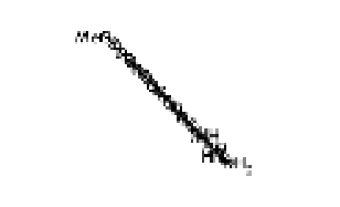 COCCOCCOCCOCCOCCOCCOCCOCCOCCOCCOCCOCCC(=O)NCCCCCC(=O)NCCN